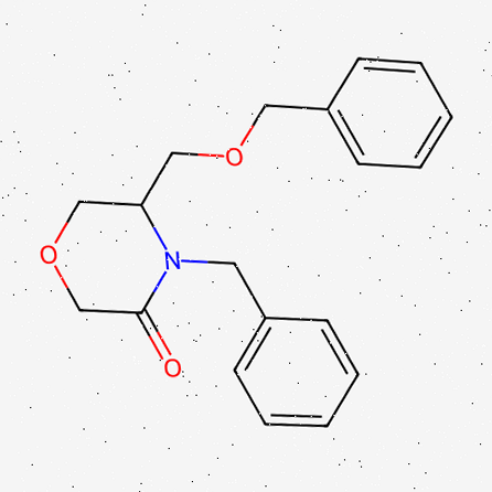 O=C1COCC(COCc2ccccc2)N1Cc1ccccc1